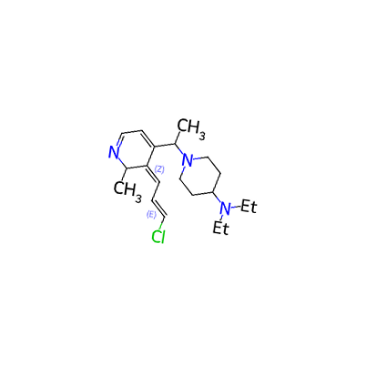 CCN(CC)C1CCN(C(C)C2=CC=NC(C)/C2=C\C=C\Cl)CC1